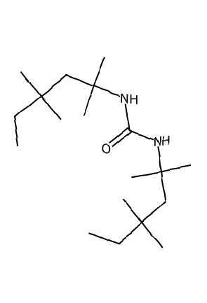 CCC(C)(C)CC(C)(C)NC(=O)NC(C)(C)CC(C)(C)CC